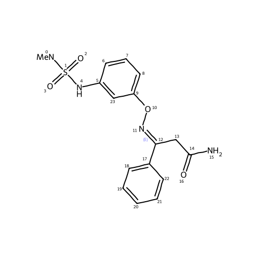 CNS(=O)(=O)Nc1cccc(O/N=C(\CC(N)=O)c2ccccc2)c1